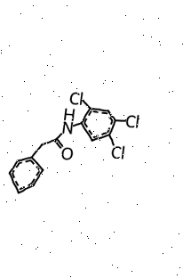 O=C(Cc1ccccc1)Nc1cc(Cl)c(Cl)cc1Cl